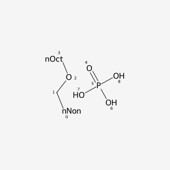 CCCCCCCCCCOCCCCCCCC.O=P(O)(O)O